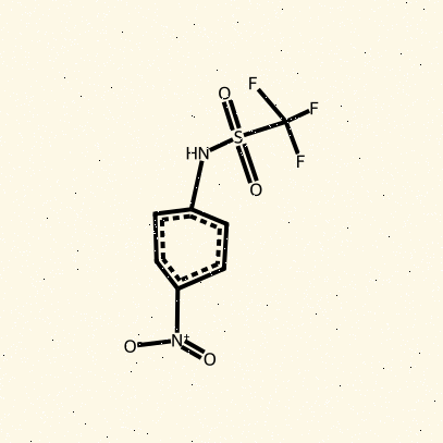 O=[N+]([O-])c1ccc(NS(=O)(=O)C(F)(F)F)cc1